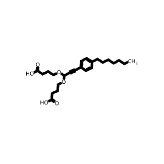 CCCCCCCc1ccc(C#CC(OCCCC(=O)O)OCCCC(=O)O)cc1